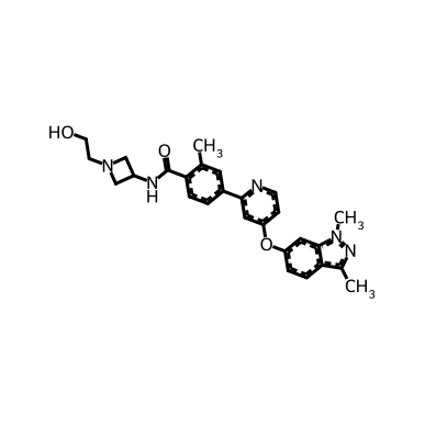 Cc1cc(-c2cc(Oc3ccc4c(C)nn(C)c4c3)ccn2)ccc1C(=O)NC1CN(CCO)C1